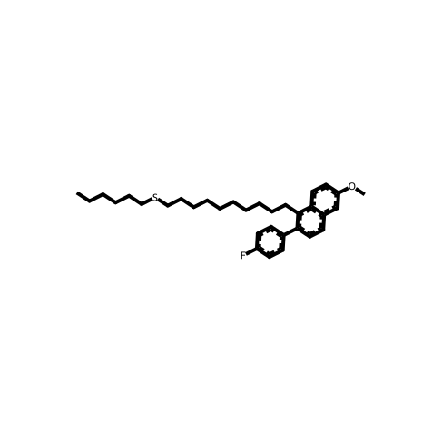 CCCCCCSCCCCCCCCCCc1c(-c2ccc(F)cc2)ccc2cc(OC)ccc12